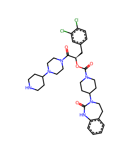 O=C(O[C@H](Cc1ccc(Cl)c(Cl)c1)C(=O)N1CCN(C2CCNCC2)CC1)N1CCC(N2CCc3ccccc3NC2=O)CC1